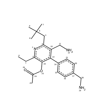 CCc1nc(CC(C)(C)C)c(CN)c(-c2ccc(CN)cc2)c1OC(C)=O